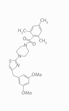 COc1cc(Cc2csc(N3CCN(S(=O)(=O)c4c(C)cc(C)cc4C)CC3)n2)cc(OC)c1